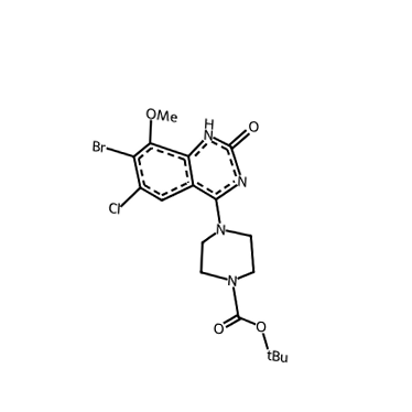 COc1c(Br)c(Cl)cc2c(N3CCN(C(=O)OC(C)(C)C)CC3)nc(=O)[nH]c12